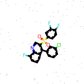 O=S(=O)(c1ccc(F)c(F)c1)c1cnc2c(F)cccc2c1-c1cccc(Cl)c1